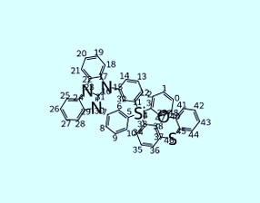 c1ccc([Si](c2ccccc2)(c2cccc(-n3c4ccccc4n4c5ccccc5nc34)c2)c2cccc3c2Oc2ccccc2S3)cc1